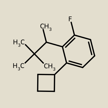 CC(c1c(F)cccc1C1CCC1)C(C)(C)C